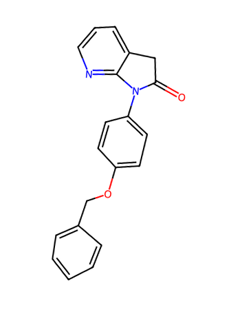 O=C1Cc2cccnc2N1c1ccc(OCc2ccccc2)cc1